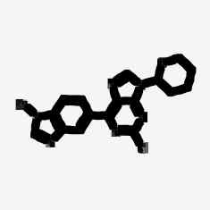 CCn1cnc2cc(-c3nc(Cl)nc4c3ncn4C3CCCCO3)ccc21